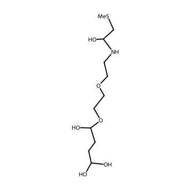 CSCC(O)NCCOCCOC(O)CCC(O)O